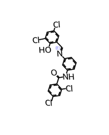 O=C(Nc1cccc(/N=C/c2cc(Cl)cc(Cl)c2O)c1)c1ccc(Cl)cc1Cl